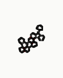 c1ccc(-c2ccccc2N(c2ccccc2)c2ccccc2-c2cccc(-c3cccc4c3c3ccccc3n4-c3ccccc3)c2)cc1